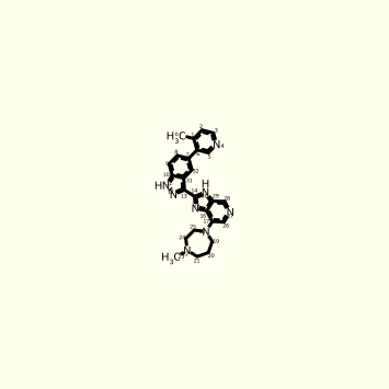 Cc1ccncc1-c1ccc2[nH]nc(-c3nc4c(N5CCCN(C)CC5)cncc4[nH]3)c2c1